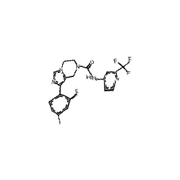 O=C(Nc1ccnc(C(F)(F)F)c1)N1CCn2cnc(-c3ccc(F)cc3F)c2C1